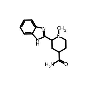 CN1CCC(C(N)=O)CC1c1nc2ccccc2[nH]1